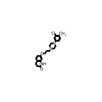 Cc1ccc(N2CCN(CCCOc3ccc4c(c3)NC(=O)CC4)CC2)cc1Cl